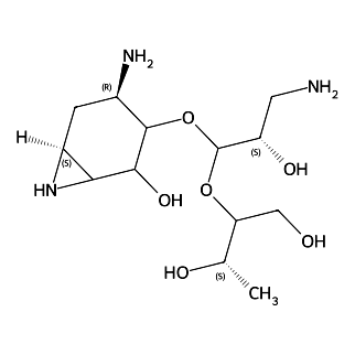 C[C@H](O)C(CO)OC(OC1C(O)C2N[C@H]2C[C@H]1N)[C@@H](O)CN